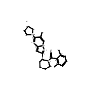 Cc1cn2nc([C@@H]3CCCCN3C(=O)c3c(C)cccc3C)cc2nc1N1CC[C@H](C)C1